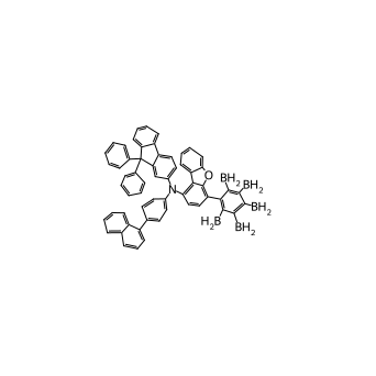 Bc1c(B)c(B)c(-c2ccc(N(c3ccc(-c4cccc5ccccc45)cc3)c3ccc4c(c3)C(c3ccccc3)(c3ccccc3)c3ccccc3-4)c3c2oc2ccccc23)c(B)c1B